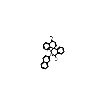 O=C1C=CC2(C(=O)N(c3ccc4ccccc4c3)C(=O)c3ccccc32)c2ccccc21